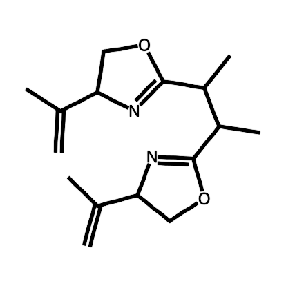 C=C(C)C1COC(C(C)C(C)C2=NC(C(=C)C)CO2)=N1